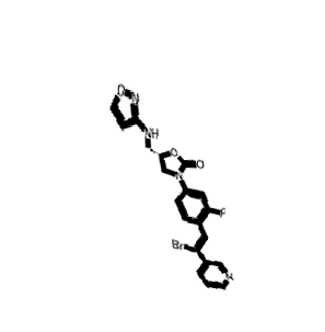 O=C1O[C@@H](CNc2ccon2)CN1c1ccc(/C=C(\Br)c2cccnc2)c(F)c1